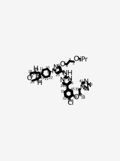 CC(C)OCCCOc1nn([C@H]2CC[C@H](N3[C@@H]4CC[C@H]3COC4)CC2)cc1Nc1ncc(-c2ccc(Cl)c(O[C@@H](C)Cn3cnnn3)c2)cn1